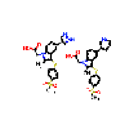 Cc1c(Sc2ccc(S(C)(=O)=O)cc2)c2cc(-c3cccnc3)ccc2n1CC(=O)O.Cc1c(Sc2ccc(S(C)(=O)=O)cc2)c2cc(-c3cn[nH]c3)ccc2n1CC(=O)O